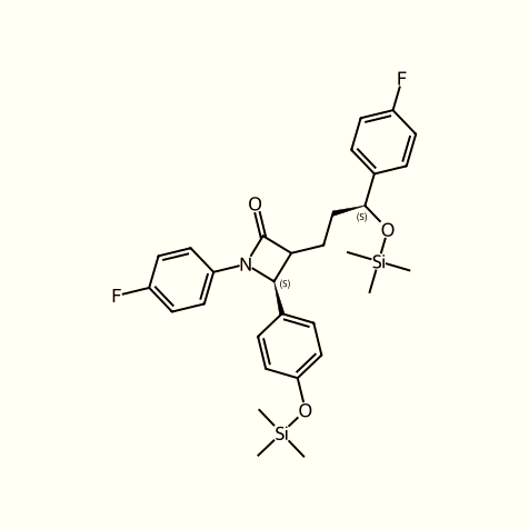 C[Si](C)(C)Oc1ccc([C@@H]2C(CC[C@H](O[Si](C)(C)C)c3ccc(F)cc3)C(=O)N2c2ccc(F)cc2)cc1